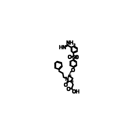 N=C(N)c1cccc(S(=O)(=O)c2ccc(OC[C@@H]3C[C@@H](CC(=O)O)C(=O)N3CCCc3ccccc3)cc2)c1